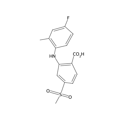 Cc1cc(F)ccc1Nc1cc(S(C)(=O)=O)ccc1C(=O)O